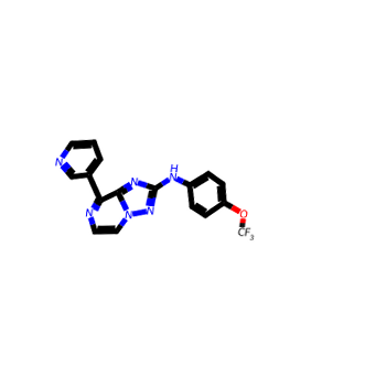 FC(F)(F)Oc1ccc(Nc2nc3c(-c4cccnc4)nccn3n2)cc1